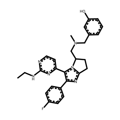 CCNc1nccc(-c2c(-c3ccc(F)cc3)nc3n2C(CN(C)Cc2cccc(O)c2)CC3)n1